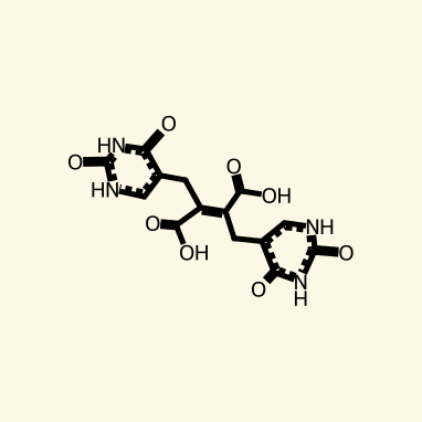 O=C(O)C(Cc1c[nH]c(=O)[nH]c1=O)=C(Cc1c[nH]c(=O)[nH]c1=O)C(=O)O